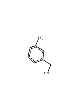 [NH]Cc1cccc(C(F)(F)F)c1